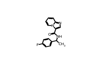 CC(NC(=O)c1cnc2ccccn12)c1ccc(F)cc1